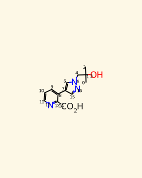 CC(C)(O)Cn1cc(-c2cccnc2C(=O)O)cn1